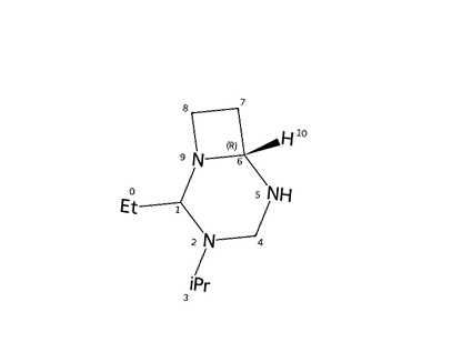 CCC1N(C(C)C)CN[C@H]2CCN12